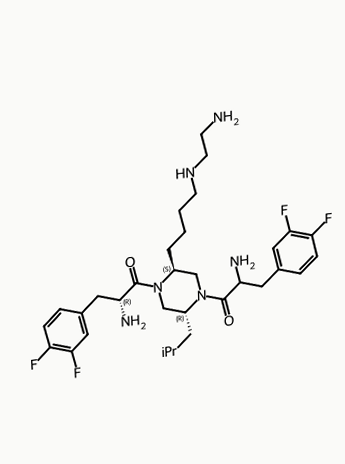 CC(C)C[C@@H]1CN(C(=O)[C@H](N)Cc2ccc(F)c(F)c2)[C@@H](CCCCNCCN)CN1C(=O)C(N)Cc1ccc(F)c(F)c1